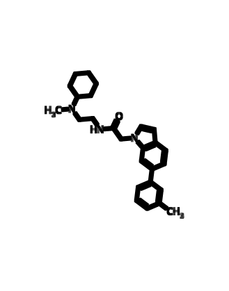 Cc1cccc(-c2ccc3ccn(CC(=O)NCCN(C)C4CCCCC4)c3c2)c1